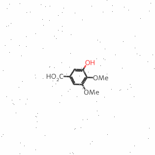 COc1cc(C(=O)O)cc(O)c1OC